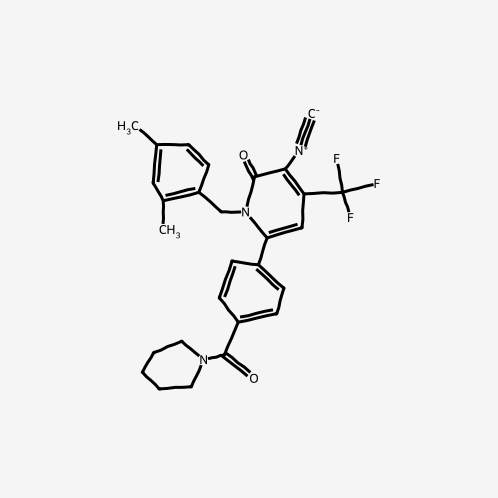 [C-]#[N+]c1c(C(F)(F)F)cc(-c2ccc(C(=O)N3CCCCC3)cc2)n(Cc2ccc(C)cc2C)c1=O